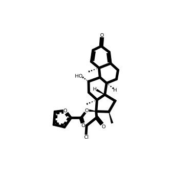 C[C@@H]1C[C@H]2[C@@H]3CCC4=CC(=O)C=C[C@]4(C)C3[C@@H](O)C[C@]2(C)[C@@]1(OC(=O)c1ccco1)C(=O)CCl